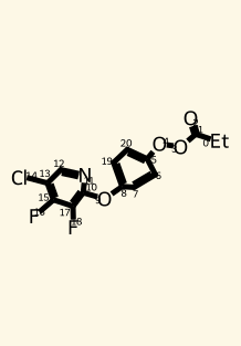 CCC(=O)OOc1ccc(Oc2ncc(Cl)c(F)c2F)cc1